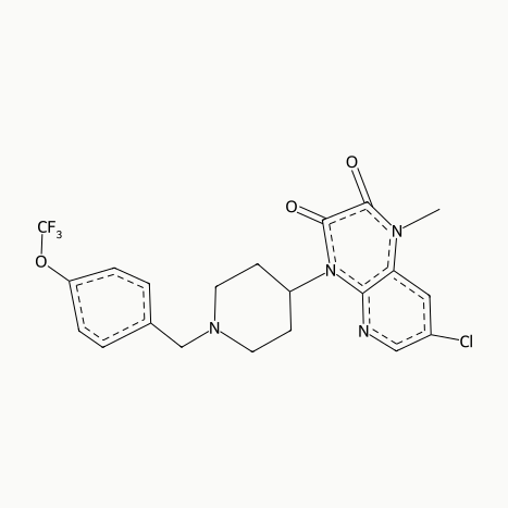 Cn1c(=O)c(=O)n(C2CCN(Cc3ccc(OC(F)(F)F)cc3)CC2)c2ncc(Cl)cc21